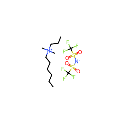 CCCCCC[N+](C)(C)CCC.O=S(=O)([N-]S(=O)(=O)C(F)(F)F)C(F)(F)F